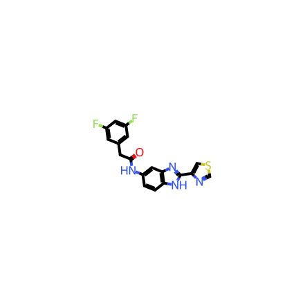 O=C(Cc1cc(F)cc(F)c1)Nc1ccc2[nH]c(-c3cscn3)nc2c1